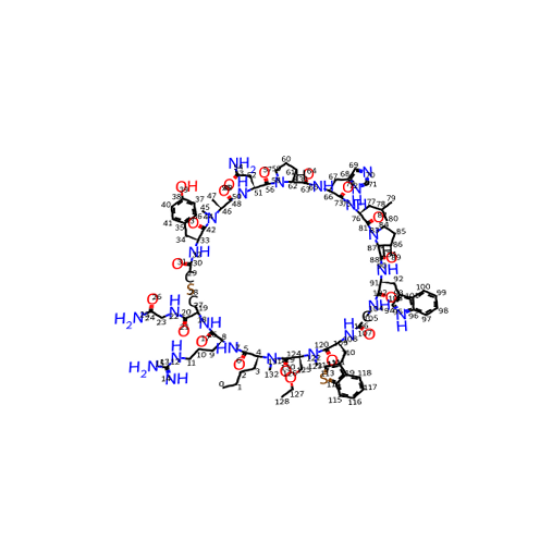 CCCC[C@H]1C(=O)N[C@@H](CCCNC(=N)N)C(=O)NC(C(=O)NCC(N)=O)CSCC(=O)N[C@@H](Cc2ccc(O)cc2)C(=O)N(C)[C@@H](C)C(=O)N[C@@H](CC(N)=O)C(=O)N2CCC[C@H]2C(=O)N[C@@H](Cc2cnc[nH]2)C(=O)N[C@@H](CC(C)C)C(=O)N2CCC[C@H]2C(=O)N[C@@H](Cc2c[nH]c3ccccc23)C(=O)NCC(=O)N[C@@H](Cc2csc3ccccc23)C(=O)N(C)[C@@H](COCC)C(=O)N1C